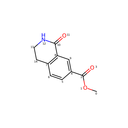 COC(=O)c1ccc2c(c1)C(=O)NCC2